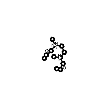 c1ccc(-c2nc(-c3cccc(-c4cccc(-c5nc(-c6ccccc6)nc(-c6ccc7c(c6)oc6cc8ccccc8cc67)n5)c4)c3)cc(-c3ccc4oc5ccc6ccccc6c5c4c3)n2)cc1